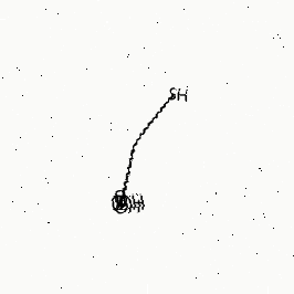 O=P(O)(O)OCCCCCCCCCCCCCCCCCCCCCCCCCCCCCCCCCS